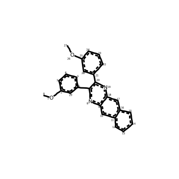 COc1cccc(-c2nc3cc4ccccc4cc3nc2-c2cccc(OC)c2)c1